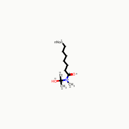 CCCCCCCCCCCCCCCC(=O)N(C)C(C)(O)CC